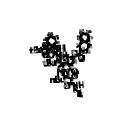 C=CCNC(=O)C(=O)C(CCCC)NC(=O)[C@@H]1C[C@@H](OC(=O)N2CCc3ccccc3C2)CN1C(=O)[C@@H](NC(=O)NC1(CS(=O)(=O)C(C)(C)C)CCCCC1)C(C)(C)C